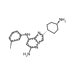 Nc1cc(Nc2cccc(I)c2)c2nc([C@H]3CC[C@H](N)CC3)cn2n1